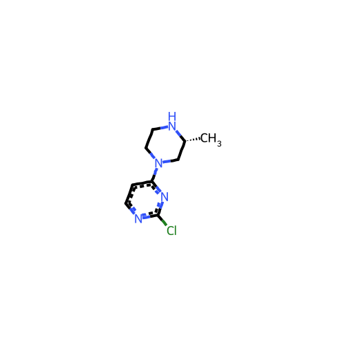 C[C@@H]1CN(c2ccnc(Cl)n2)CCN1